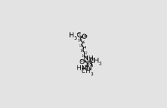 CNc1ncn(C)c1C(=O)NCCCCCCCC(C)=O